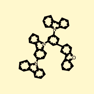 c1ccc2c(c1)oc1ccc(-c3cc(-n4c5ccccc5c5ccccc54)cc(-n4c5ccccc5c5cc(-n6c7ccccc7c7ccccc76)ccc54)c3)cc12